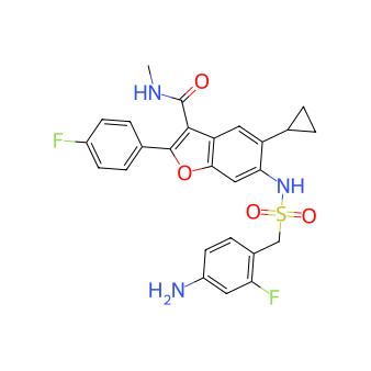 CNC(=O)c1c(-c2ccc(F)cc2)oc2cc(NS(=O)(=O)Cc3ccc(N)cc3F)c(C3CC3)cc12